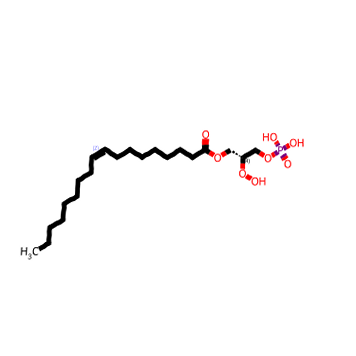 CCCCCCCC/C=C\CCCCCCCC(=O)OC[C@H](COP(=O)(O)O)OO